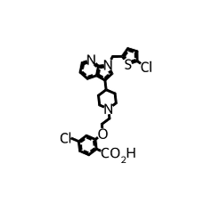 O=C(O)c1ccc(Cl)cc1OCCN1CCC(c2cn(Cc3ccc(Cl)s3)c3ncccc23)CC1